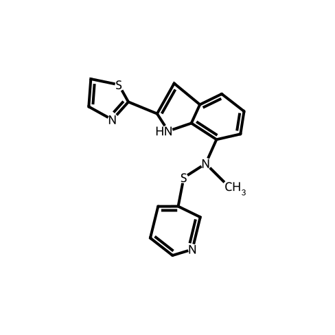 CN(Sc1cccnc1)c1cccc2cc(-c3nccs3)[nH]c12